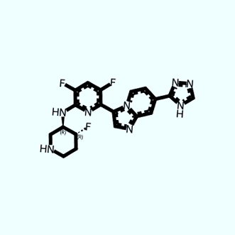 Fc1cc(F)c(-c2cnc3cc(-c4nnc[nH]4)ccn23)nc1N[C@@H]1CNCC[C@H]1F